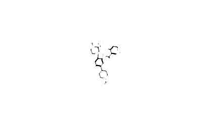 C[C@@H]1CN(c2cc(F)c(C3CCN(CC(C)(C)C)CC3)cc2NC(=O)c2c[nH]c(=O)cc2C(F)(F)F)C[C@H](C)N1C